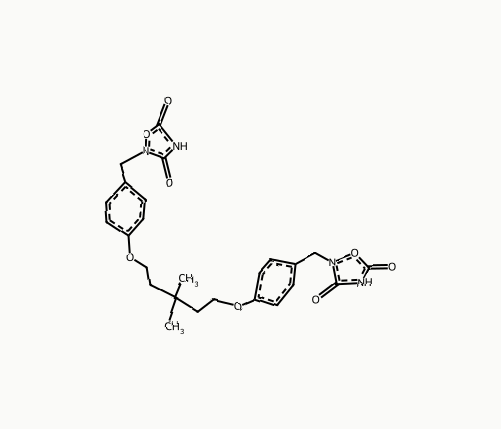 CC(C)(CCOc1ccc(Cn2oc(=O)[nH]c2=O)cc1)CCOc1ccc(Cn2oc(=O)[nH]c2=O)cc1